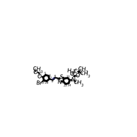 COCOc1ccc(/C=C/c2nc3ccc(N(C)C(=O)OC(C)(C)C)cc3s2)cc1Br